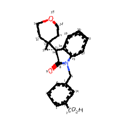 O=C(O)c1cccc(CN2C(=O)[C@]3(CC34CCOCC4)c3ccccc32)c1